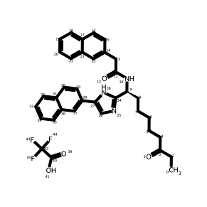 CCC(=O)CCCCC[C@H](NC(=O)Cc1ccc2ccccc2c1)c1ncc(-c2ccc3ccccc3c2)[nH]1.O=C(O)C(F)(F)F